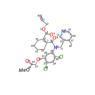 C#CCOC(=O)C1=C(C(=O)N(Cc2cnccc2C)c2cc(OCC(=O)OC)c(Cl)cc2Cl)CCCC1